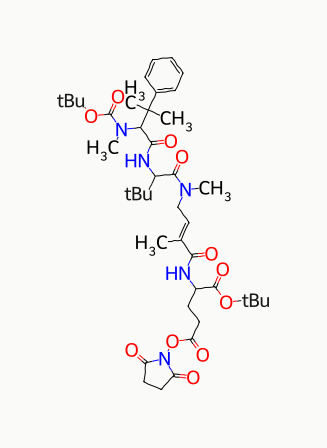 C/C(=C\CN(C)C(=O)C(NC(=O)C(N(C)C(=O)OC(C)(C)C)C(C)(C)c1ccccc1)C(C)(C)C)C(=O)NC(CCC(=O)ON1C(=O)CCC1=O)C(=O)OC(C)(C)C